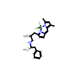 Cc1cc(C)n2c1C=C1C=CC(CC(C=O)CN[C@@H](Cc3ccccc3)C(=O)O)=[N+]1[B-]2(F)F